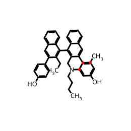 CCCCN(CCCC)Cc1c(-c2ccc(O)cc2)cc2ccccc2c1-c1c(CC)c(-c2ccc(O)cc2)cc2ccccc12